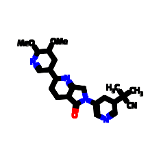 COC1CC(C2CCC3C(=O)N(C4=CN=CC(C(C)(C)C#N)C4)CC3=N2)C=NC1OC